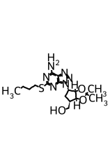 CCCCSc1nc(N)c2nnn([C@@H]3C[C@H](CO)[C@H]4OC(C)(C)O[C@H]43)c2n1